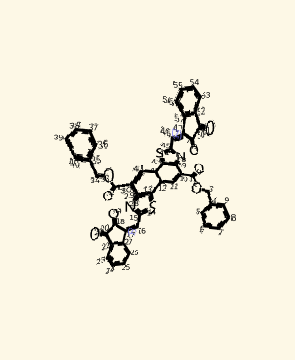 O=C(OCc1ccccc1)C1=CC2c3sc(/C=C4\C(=O)C(=O)c5ccccc54)nc3C(C(=O)OCc3ccccc3)=CC2c2sc(/C=C3\C(=O)C(=O)c4ccccc43)nc21